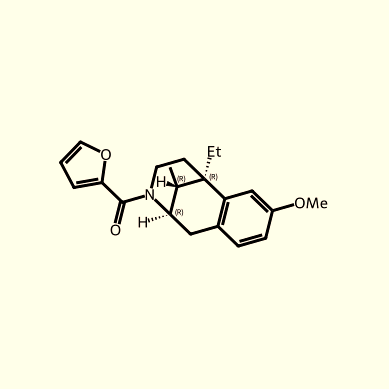 CC[C@]12CCN(C(=O)c3ccco3)[C@H](Cc3ccc(OC)cc31)[C@@H]2C